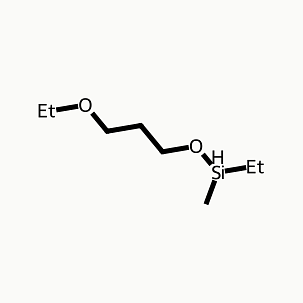 CCOCCCO[SiH](C)CC